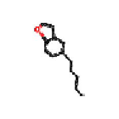 [CH2]C=CC=Cc1ccc2occc2c1